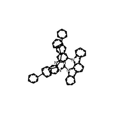 c1ccc(-c2ccc(-c3nc(-c4ccc(-c5ccccc5)cc4)nc(-n4c5ccccc5c5ccc6c7ccccc7n(-c7cc(-c8ccccc8)cc(-c8ccccc8)c7)c6c54)n3)cc2)cc1